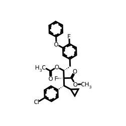 COC(=O)[C@](F)([C@@H](Cc1ccc(F)c(Oc2ccccc2)c1)OC(C)=O)[C@@H](c1ccc(Cl)cc1)C1CC1